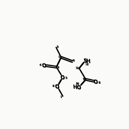 C=C(C)C(=O)OOC.O=C(O)CS